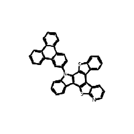 c1ccc2c(c1)sc1c2c2c3cccnc3sc2c2c3ccccc3n(-c3ccc4c5ccccc5c5ccccc5c4c3)c12